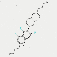 C=CCCc1cc(F)c2c(F)c(C3CCC4CC(CCCC)CCC4C3)c(F)cc2c1